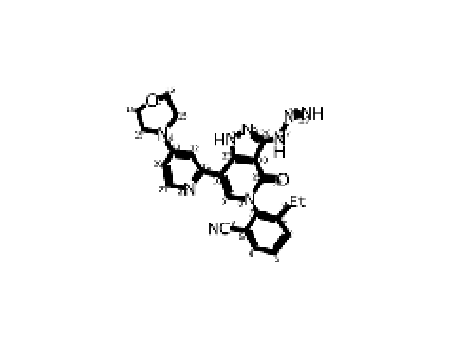 CCc1cccc(C#N)c1-n1cc(-c2cc(N3CCOCC3)ccn2)c2[nH]nc(NN=N)c2c1=O